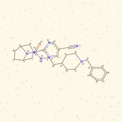 N#Cc1cnc(N2CC3CCC(C2)N3C(=O)NCCC2CCN(Cc3ccccc3)CC2)nc1